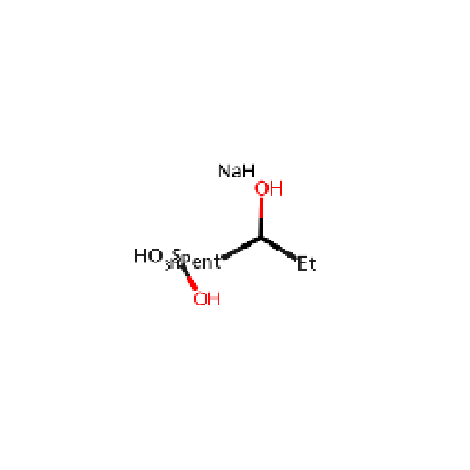 CCCCCC(O)CC.O=S(=O)(O)O.[NaH]